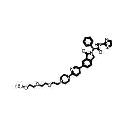 CCCCOCCOCCOCCN1CCN(c2ccc(-c3ccc4c(c3)C(=O)N(C(C(=O)Nc3nccs3)c3ccccc3)C4)cn2)CC1